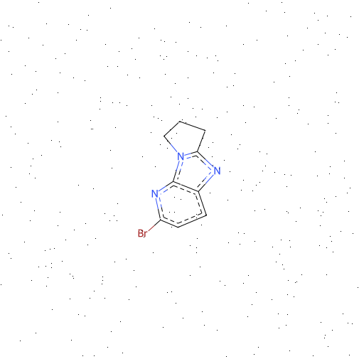 Brc1ccc2nc3n(c2n1)CCC3